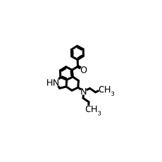 CCCN(CCC)C1Cc2c(C(=O)c3ccccc3)ccc3c2C(CN3)C1